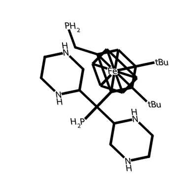 CC(C)(C)[C]12[CH]3[C]4(CP)[C]5(C(P)(C6CNCCN6)C6CNCCN6)[C]1(C(C)(C)C)[Fe]34251678[CH]2[CH]1[CH]6[CH]7[CH]28